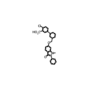 Cn1c2cc(OCc3cccc(-c4ccc(Cl)c(C(=O)O)c4)c3)ccc2c(=O)n1-c1ccccc1